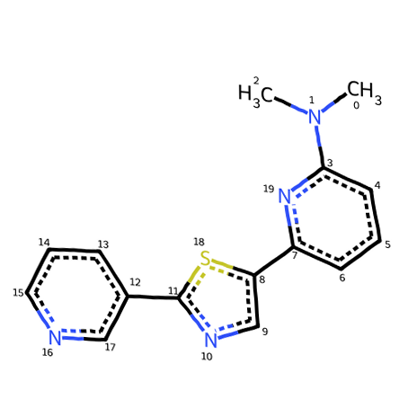 CN(C)c1cccc(-c2cnc(-c3cccnc3)s2)n1